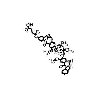 COc1cc2c(cc1OCC(C)(C)CC(C)(C)COc1cc3c(cc1OC)C(=O)N1c4ccccc4C[C@H]1CN3)N=C[C@@H]1Cc3cc(OC(=O)CCC(=O)O)ccc3N1C2=O